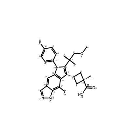 COCC(C)(C)c1c([C@H]2C[C@](C)(C(=O)O)C2)c2c(F)c3[nH]ncc3cc2n1-c1ccc(F)cc1